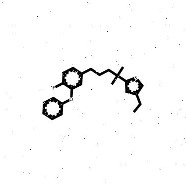 CCc1csc(C(C)(C)CCCc2ccc(F)c(Oc3ccccc3)c2)c1